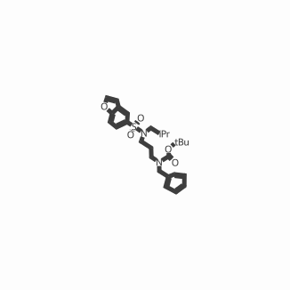 CC(C)CN(CCCN(Cc1ccccc1)C(=O)OC(C)(C)C)S(=O)(=O)c1ccc2occc2c1